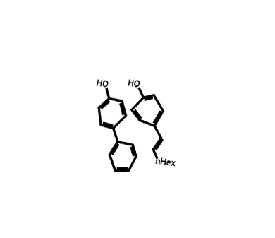 CCCCCCC=Cc1ccc(O)cc1.Oc1ccc(-c2ccccc2)cc1